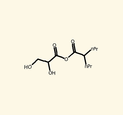 CCCC(CCC)C(=O)OC(=O)C(O)CO